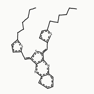 CCCCCCc1ccc(C=c2sc(=Cc3ccc(CCCCCC)s3)c3nc4ccccc4nc23)s1